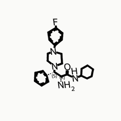 N[C@@H](C(=O)NC1CCCCC1)[C@H](c1ccccc1)N1CCN(c2ccc(F)cc2)CC1